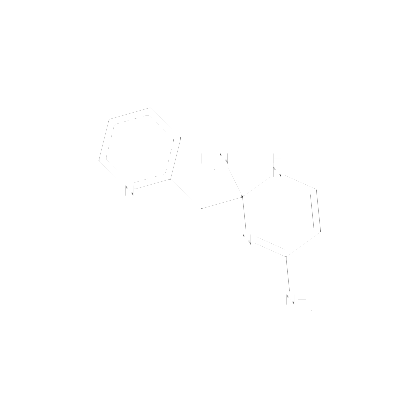 NC1=NC(N)(Cc2ccccn2)NC=C1